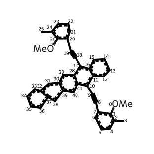 COc1c(C)cccc1C#Cc1c2ccccc2c(C#Cc2cccc(C)c2OC)c2cc3cc4ccccc4cc3cc12